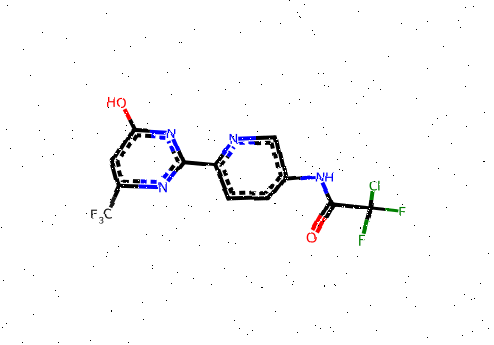 O=C(Nc1ccc(-c2nc(O)cc(C(F)(F)F)n2)nc1)C(F)(F)Cl